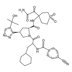 CC(C)(O)c1cnnn1[C@H]1C[C@@H](C(=O)NC2(C(=O)C(N)=O)CCS(=O)(=O)CC2)N(C(=O)C(CC2CCCCC2)NC(=O)c2ccc(C#N)cc2)C1